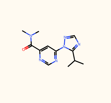 CC(C)c1ncnn1-c1cc(C(=O)N(C)C)ncn1